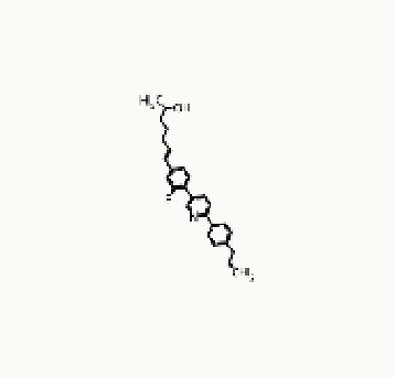 C=CCc1ccc(-c2ccc(-c3ccc(C=CCCCC(C)O)cc3F)cn2)cc1